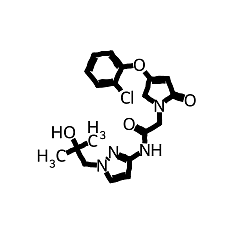 CC(C)(O)Cn1ccc(NC(=O)CN2CC(Oc3ccccc3Cl)=CC2=O)n1